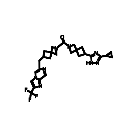 O=C(N1CC2(CC(Cc3cn4cc(C(F)(F)F)nc4cn3)C2)C1)N1CC2(CC(c3nc(C4CC4)n[nH]3)C2)C1